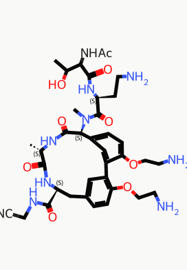 CC(=O)NC(C(=O)N[C@@H](CCN)C(=O)N(C)[C@@H]1C(=O)N[C@@H](C)C(=O)N[C@H](C(=O)NCC#N)Cc2ccc(OCCN)c(c2)-c2cc1ccc2OCCN)C(C)O